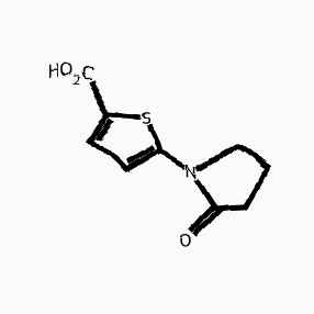 O=C(O)c1ccc(N2CCCC2=O)s1